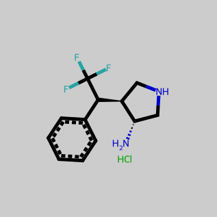 Cl.N[C@H]1CNC[C@@H]1C(c1ccccc1)C(F)(F)F